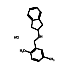 Cc1ccc(C)c(CNC2Cc3ccccc3C2)c1.Cl